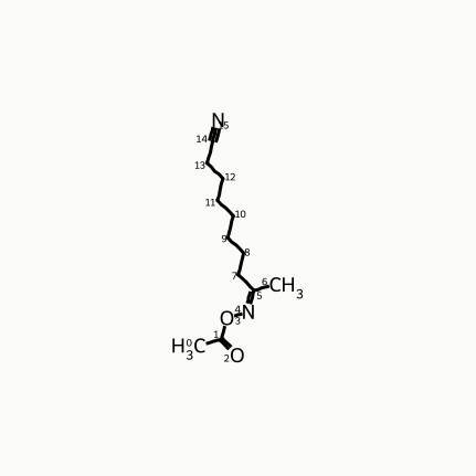 CC(=O)ON=C(C)CCCCCCCC#N